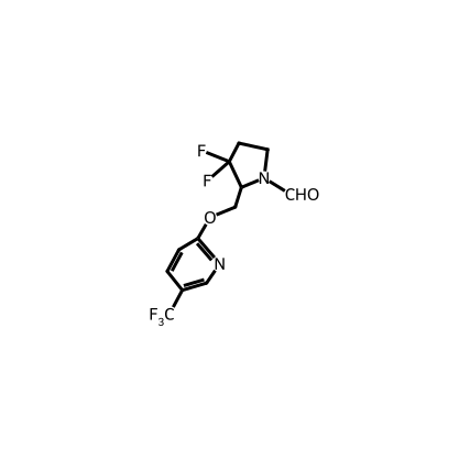 O=CN1CCC(F)(F)C1COc1ccc(C(F)(F)F)cn1